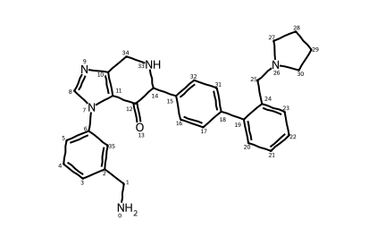 NCc1cccc(-n2cnc3c2C(=O)C(c2ccc(-c4ccccc4CN4CCCC4)cc2)NC3)c1